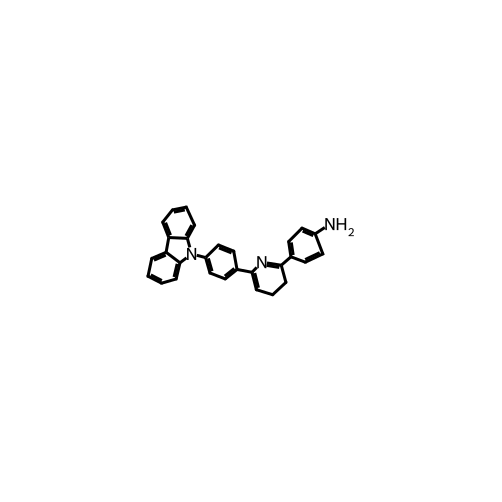 Nc1ccc(C2=NC(c3ccc(-n4c5ccccc5c5ccccc54)cc3)=CCC2)cc1